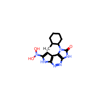 CC1CCCCC1n1c(=O)[nH]c2nnc3[nH]c(N(O)O)cc3c21